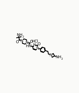 CC(C)(N)C(=O)N1CCN(C(=O)Nc2ccn(-c3ccc(CCN4CC(N)C4)cc3)c(=O)n2)CC1.Cl